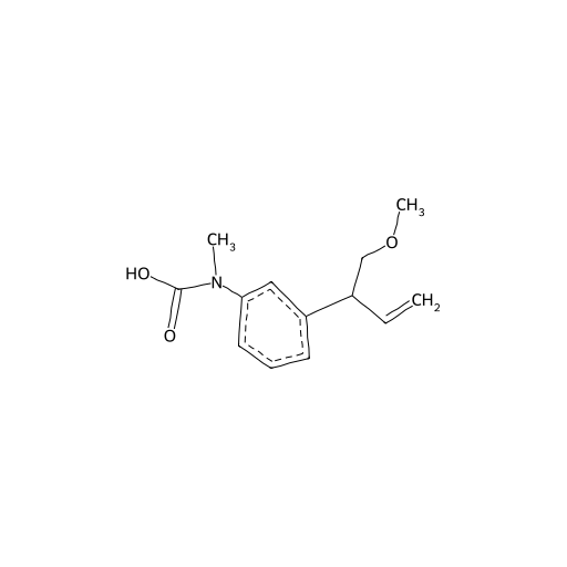 C=CC(COC)c1cccc(N(C)C(=O)O)c1